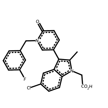 Cc1c(-c2ccc(=O)n(Cc3cccc(F)c3)c2)c2cc(Cl)ccc2n1CC(=O)O